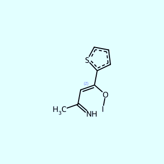 CC(=N)/C=C(\OI)c1cccs1